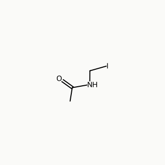 CC(=O)NCI